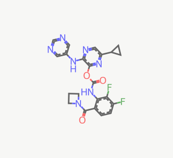 O=C(Nc1c(C(=O)N2CCC2)ccc(F)c1F)Oc1nc(C2CC2)cnc1Nc1cncnc1